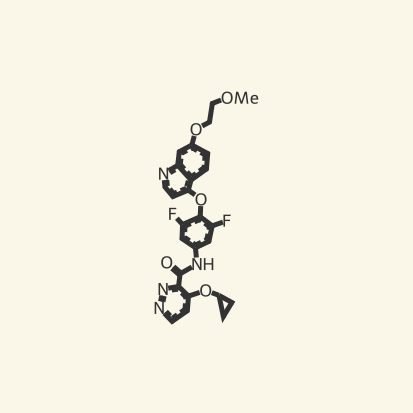 COCCOc1ccc2c(Oc3c(F)cc(NC(=O)c4nnccc4OC4CC4)cc3F)ccnc2c1